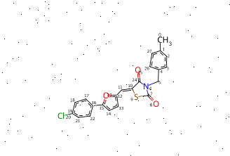 Cc1ccc(CN2C(=O)S/C(=C\c3ccc(-c4ccc(Cl)cc4)o3)C2=O)cc1